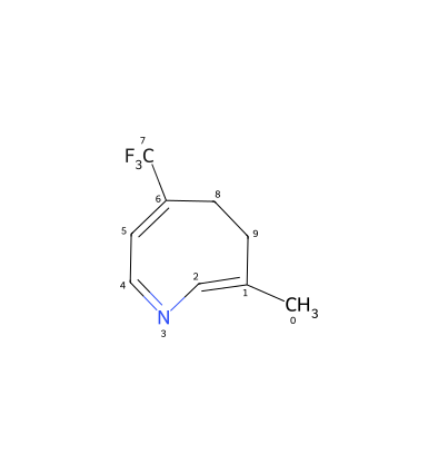 C\C1=C/N=C\C=C(\C(F)(F)F)CC1